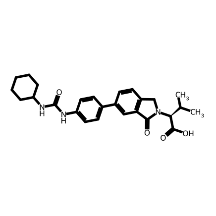 CC(C)[C@@H](C(=O)O)N1Cc2ccc(-c3ccc(NC(=O)NC4CCCCC4)cc3)cc2C1=O